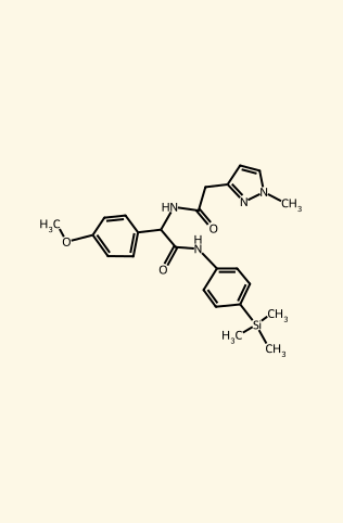 COc1ccc(C(NC(=O)Cc2ccn(C)n2)C(=O)Nc2ccc([Si](C)(C)C)cc2)cc1